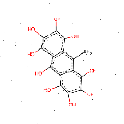 Bc1c2c(O)c(O)c(O)c(O)c2c(O)c2c(O)c(O)c(O)c(O)c12